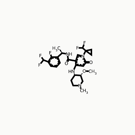 CO[C@@H]1CN(C)CC[C@@H]1Nc1cc(=O)n(C2(C(F)F)CC2)cc1C(=O)N[C@H](C)c1cccc(C(F)F)c1F